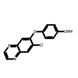 COc1ccc(Oc2cc3nccnc3cc2Cl)cc1